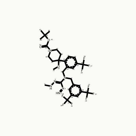 CN/N=C(\N=N)N(Cc1cc(C(F)(F)F)cc(C(F)(F)F)c1)Cc1cc(C(F)(F)F)ccc1C1(OC)CCN(C(=O)OC(C)(C)C)CC1